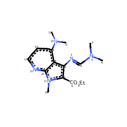 CCOC(=O)c1c(N=CN(C)C)c2c(N(C)C)ccnc2n1C